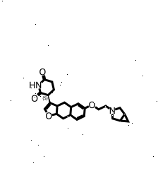 O=C1CC[C@@H](C2=COC3CC4C=CC(OCCN5CC6CC6C5)=CC4CC23)C(=O)N1